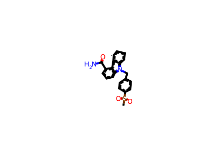 CS(=O)(=O)c1ccc(Cn2c3ccc[c]c3c3c(C(N)=O)cccc32)cc1